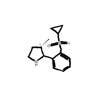 C[C@H]1CCNC1c1ccccc1S(=O)(=O)C1CC1